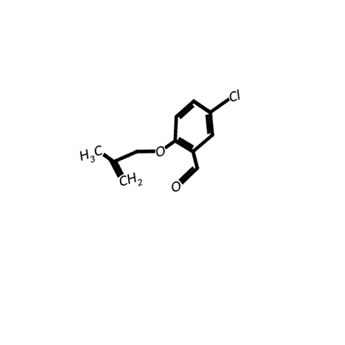 C=C(C)COc1ccc(Cl)cc1C=O